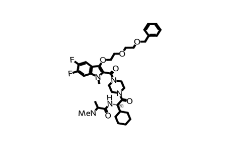 CNC(C)C(=O)N[C@H](C(=O)N1CCN(C(=O)c2c(OCCOCCOCc3ccccc3)c3cc(F)c(F)cc3n2C)CC1)C1CCCCC1